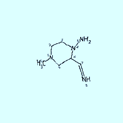 CN1CCN(N)C(C=N)C1